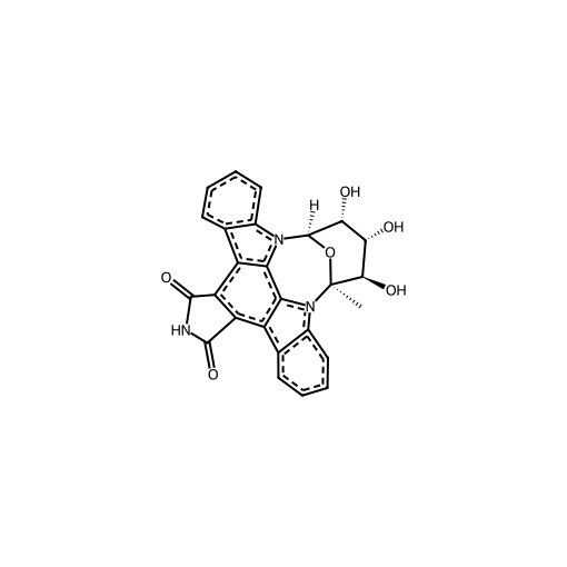 C[C@]12O[C@H]([C@H](O)[C@H](O)[C@H]1O)n1c3ccccc3c3c4c(c5c6ccccc6n2c5c31)C(=O)NC4=O